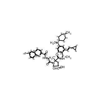 C[C@H](NC(=O)[C@]1(C)CCCN1C(=O)CNC(=O)c1ccc2cc(F)ccc2n1)c1ccc(N(C)C2CCN(C)CC2)cc1/C=C/C1CC1.O=CO